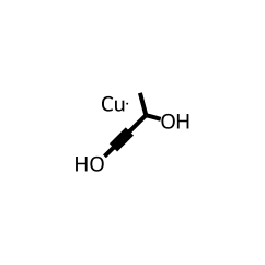 CC(O)C#CO.[Cu]